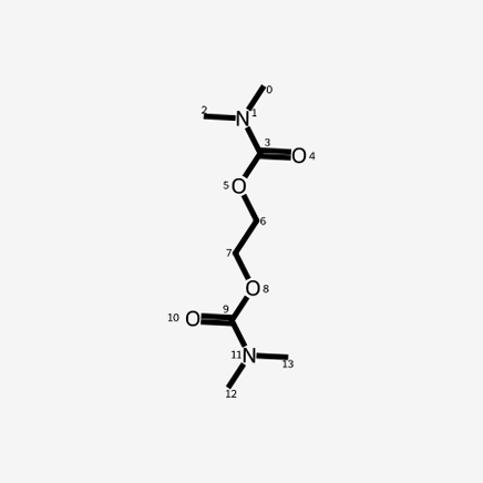 CN(C)C(=O)OCCOC(=O)N(C)C